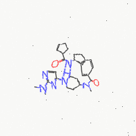 CN(C)c1nccc(N2CCC(N(C)C(=O)c3ccc4c(c3)[C@H](NC(=O)C3CCCC3)CC4)CC2)n1